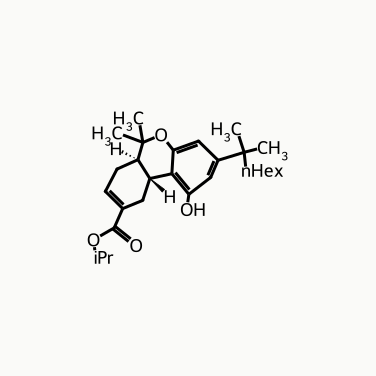 CCCCCCC(C)(C)c1cc(O)c2c(c1)OC(C)(C)[C@@H]1CC=C(C(=O)OC(C)C)C[C@@H]21